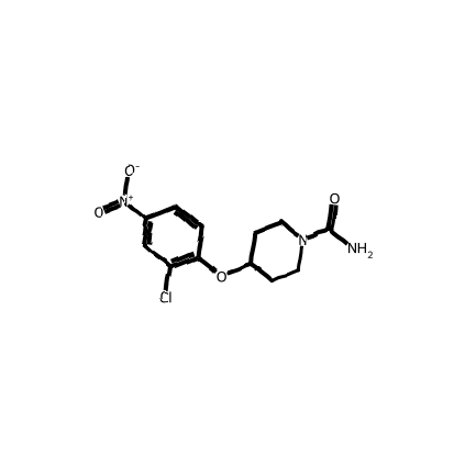 NC(=O)N1CCC(Oc2ccc([N+](=O)[O-])cc2Cl)CC1